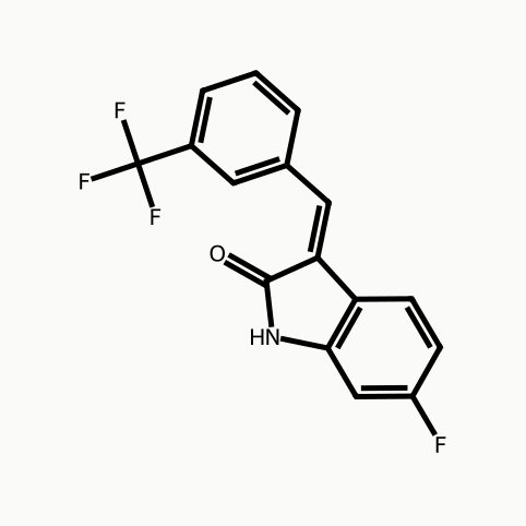 O=C1Nc2cc(F)ccc2C1=Cc1cccc(C(F)(F)F)c1